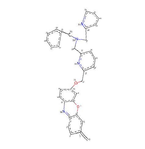 C=c1ccc2c(c1)Oc1cc(OCc3cccc(CN(Cc4ccccc4)Cc4ccccn4)n3)ccc1N=2